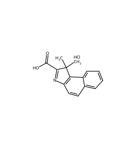 CC1(C)C(C(=O)O)=Nc2ccc3ccccc3c21.Cl